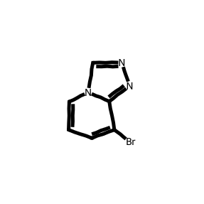 Brc1cccn2cnnc12